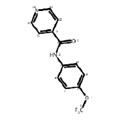 O=C(Nc1ccc(OC(F)(F)F)cc1)c1ccncc1